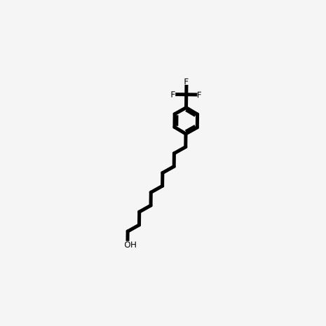 OCCCCCCCCCCc1ccc(C(F)(F)F)cc1